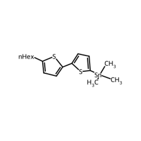 CCCCCCc1ccc(-c2cc[c]([Sn]([CH3])([CH3])[CH3])s2)s1